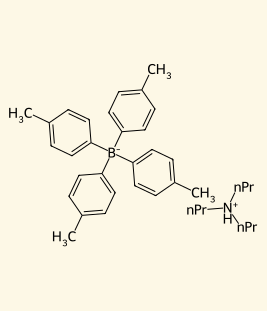 CCC[NH+](CCC)CCC.Cc1ccc([B-](c2ccc(C)cc2)(c2ccc(C)cc2)c2ccc(C)cc2)cc1